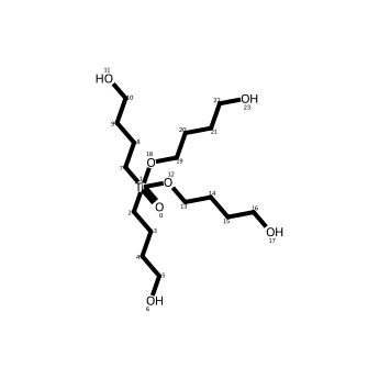 [O]=[Ti]([CH2]CCCO)([CH2]CCCO)([O]CCCCO)[O]CCCCO